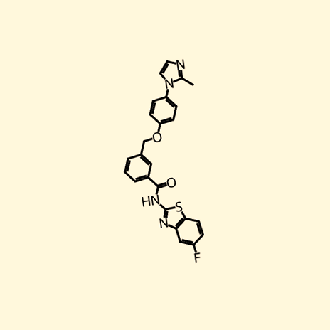 Cc1nccn1-c1ccc(OCc2cccc(C(=O)Nc3nc4cc(F)ccc4s3)c2)cc1